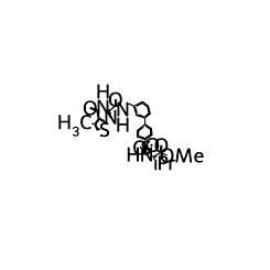 COC(=O)C(NS(=O)(=O)c1ccc(-c2cccc(CNC(=O)c3nc4scc(C)c4c(=O)[nH]3)c2)cc1)C(C)C